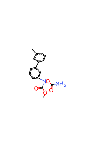 COC(=O)N(OC(N)=O)c1cccc(-c2cccc(C)c2)c1